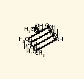 CC(C)CCCCCCCCCCCCCCC(=O)O.CC(C)CCCCCCCCCCCCCCC(=O)O.CC(C)CCCCCCCCCCCCCCC(=O)O.CC(C)CCCCCCCCCCCCCCC(=O)O.CCC(CO)(CO)CO